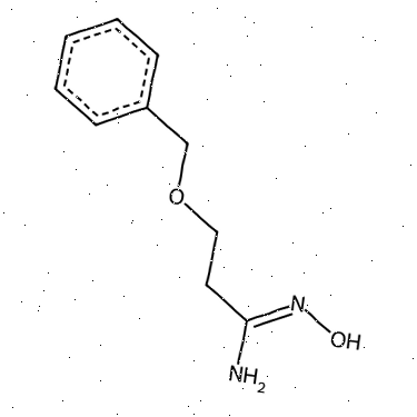 NC(CCOCc1ccccc1)=NO